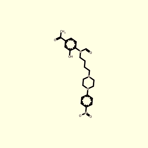 CC(=O)c1ccc(N(C=O)CCCCN2CCN(c3ccc([N+](=O)[O-])cc3)CC2)c(O)c1